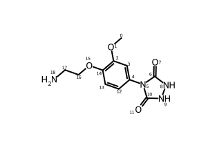 COc1cc(-n2c(=O)[nH][nH]c2=O)ccc1OCCN